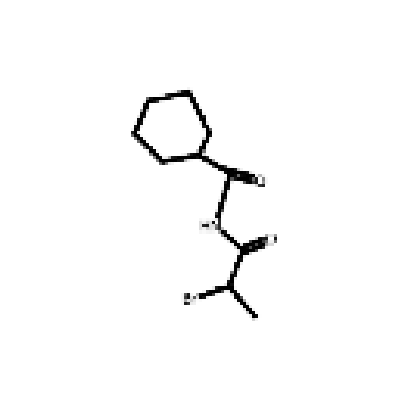 CC(Br)C(=O)NC(=O)C1CCCCC1